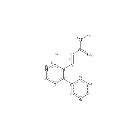 COC(=O)/C=C/c1c(-c2ccccc2)ccnc1C